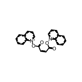 O=C(/C=C\C(=O)O[n+]1cccc2ccccc21)O[n+]1cccc2ccccc21